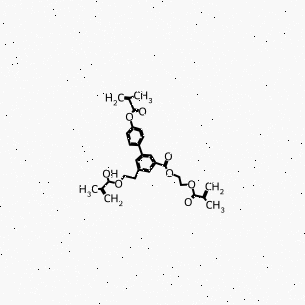 C=C(C)C(=O)OCCOC(=O)c1cc(CCOC(O)C(=C)C)cc(-c2ccc(OC(=O)C(=C)C)cc2)c1